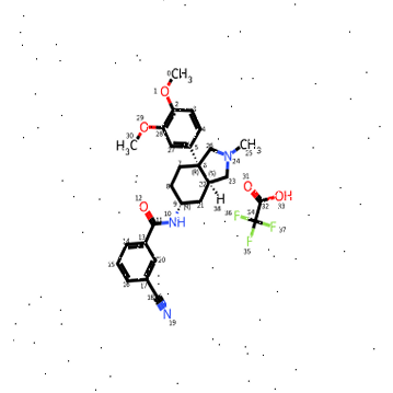 COc1ccc([C@@]23CC[C@@H](NC(=O)c4cccc(C#N)c4)C[C@@H]2CN(C)C3)cc1OC.O=C(O)C(F)(F)F